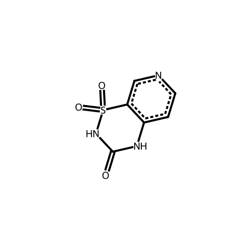 O=C1Nc2ccncc2S(=O)(=O)N1